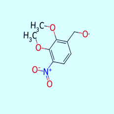 COc1c(C[O])ccc([N+](=O)[O-])c1OC